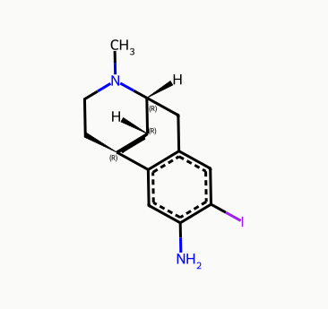 CN1CC[C@]23CCCC[C@H]2[C@H]1Cc1cc(I)c(N)cc13